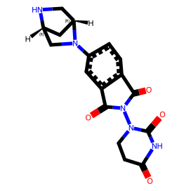 O=C1CCN(N2C(=O)c3ccc(N4C[C@H]5C[C@@H]4CN5)cc3C2=O)C(=O)N1